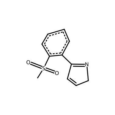 CS(=O)(=O)c1ccccc1C1=NCC=C1